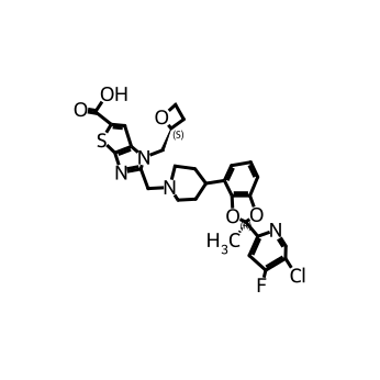 C[C@@]1(c2cc(F)c(Cl)cn2)Oc2cccc(C3CCN(Cc4nc5sc(C(=O)O)cc5n4C[C@@H]4CCO4)CC3)c2O1